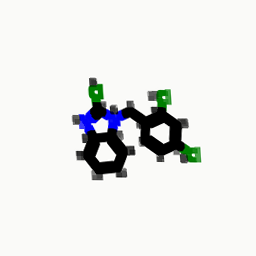 Clc1ccc(Cn2c(Cl)nc3ccccc32)c(Cl)c1